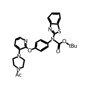 CC(=O)N1CCN(c2cccnc2Oc2ccc(N(C(=O)OC(C)(C)C)c3nc4ccccc4s3)cc2)CC1